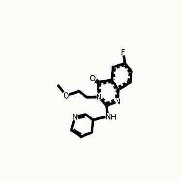 COCCn1c(NC2C=NC=CC2)nc2ccc(F)cc2c1=O